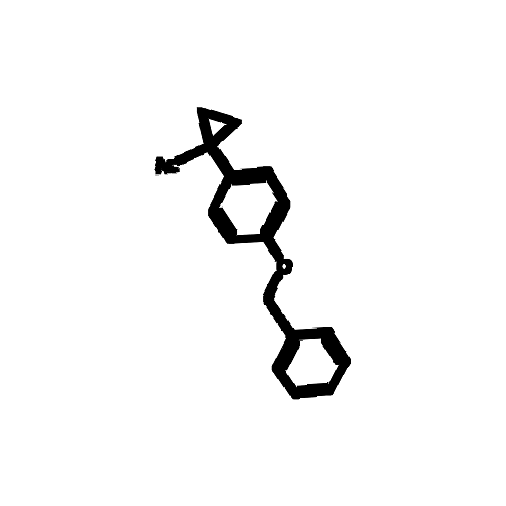 CC(=O)C1(c2ccc(OCc3ccccc3)cc2)CC1